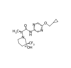 C[C@@H](C(=O)Nc1cnc(OCC2CC2)cn1)N1CCC[C@](O)(C(F)(F)F)C1